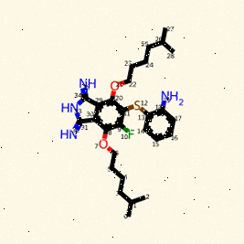 CC(C)CCCCOc1c(F)c(Sc2ccccc2N)c(OCCCCC(C)C)c2c1C(=N)NC2=N